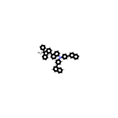 CC1(c2ccccc2)c2ccccc2-c2c(-c3cccc4c(N(c5ccc(-c6ccc7ccccc7c6)cc5)c5ccc(-c6cccc7ccccc67)cc5)cccc34)cccc21